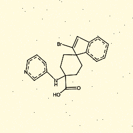 O=C(O)C1(Nc2cccnc2)CCC2(CC1)C(Br)=Cc1ccccc12